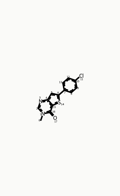 Cn1cnc2cc(-c3ccc(Cl)cc3)sc2c1=O